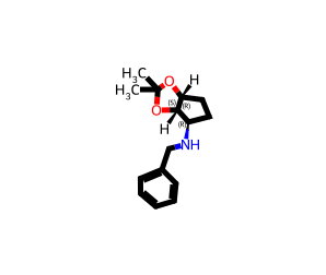 CC1(C)O[C@H]2[C@H](NCc3ccccc3)CC[C@H]2O1